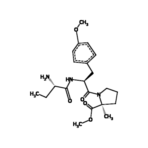 CC[C@H](N)C(=O)N[C@@H](Cc1ccc(OC)cc1)C(=O)N1CCC[C@@]1(C)C(=O)OC